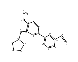 COc1ccc(-c2cccc(C=O)c2)cc1OC1CCCC1